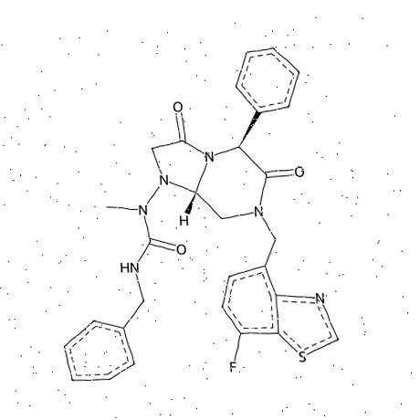 CN(C(=O)NCc1ccccc1)N1CC(=O)N2[C@@H](c3ccccc3)C(=O)N(Cc3ccc(F)c4scnc34)C[C@@H]21